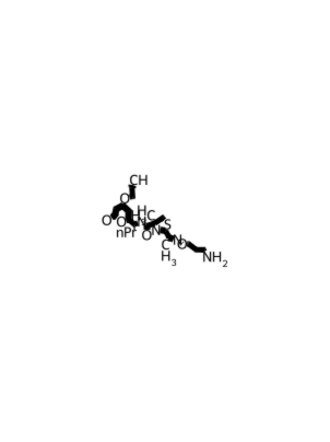 C#CCOc1cc([C@@H](CCC)NC(=O)C2(C)CSC(/C(C)=N/OCCCN)=N2)oc(=O)c1